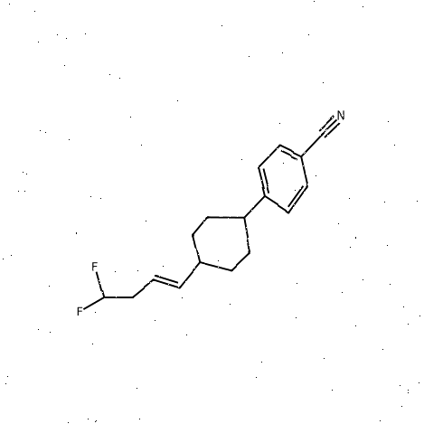 N#Cc1ccc(C2CCC(C=CCC(F)F)CC2)cc1